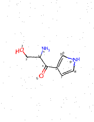 NC(CO)C(=O)c1cc[nH]c1